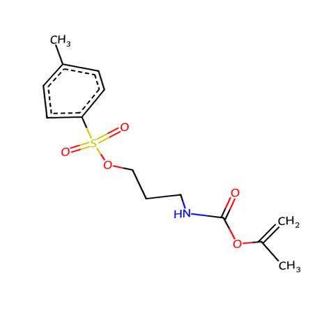 C=C(C)OC(=O)NCCCOS(=O)(=O)c1ccc(C)cc1